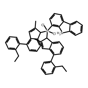 CCc1ccccc1-c1cccc2c1C=C(C)[CH]2[Zr]([Cl])([Cl])([c]1cccc2c1[SiH2]c1ccccc1-2)[CH]1C(C)=Cc2c(-c3ccccc3CC)cccc21